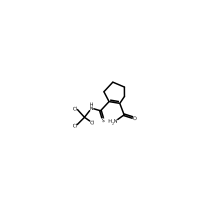 NC(=O)C1=C(C(=S)NC(Cl)(Cl)Cl)CCCC1